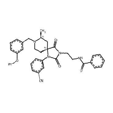 CC(C)Oc1cccc(CN2CC[C@@]3(C[C@@H]2C)C(=O)N(CCNC(=O)c2ccccc2)C(=O)N3c2cccc(C#N)c2)c1